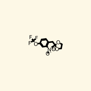 CC1(Cc2ccc(OC(F)(F)F)cc2[N+](=O)[O-])OCCO1